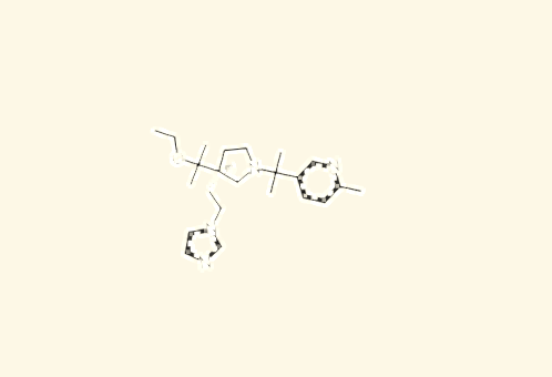 CCOC(C)(C)[C@@]1(CCn2ccnc2)CCN(C(C)(C)c2ccc(C)nc2)C1